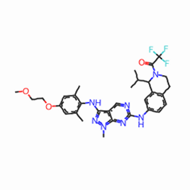 COCCOc1cc(C)c(Nc2nn(C)c3nc(Nc4ccc5c(c4)C(C(C)C)N(C(=O)C(F)(F)F)CC5)ncc23)c(C)c1